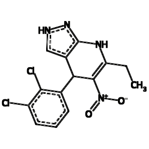 CCC1=C([N+](=O)[O-])C(c2cccc(Cl)c2Cl)c2c[nH]nc2N1